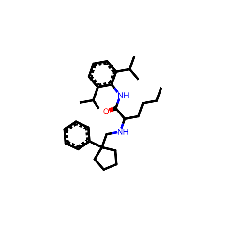 CCCCC(NCC1(c2ccccc2)CCCC1)C(=O)Nc1c(C(C)C)cccc1C(C)C